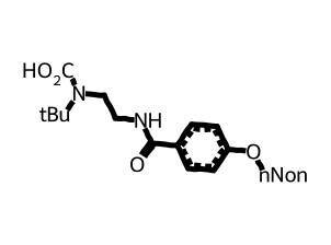 CCCCCCCCCOc1ccc(C(=O)NCCN(C(=O)O)C(C)(C)C)cc1